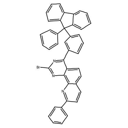 Brc1nc(-c2cccc(C3(c4ccccc4)c4ccccc4-c4ccccc43)c2)c2ccc3ccc(-c4ccccc4)nc3c2n1